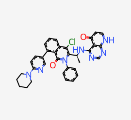 C[C@H](Nc1ncnc2[nH]ccc(=O)c12)c1c(Cl)c2cccc(-c3ccc(N4CCCCC4)nc3)c2c(=O)n1-c1ccccc1